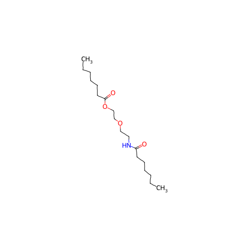 CCCCCCC(=O)NCCOCCOC(=O)CCCCCC